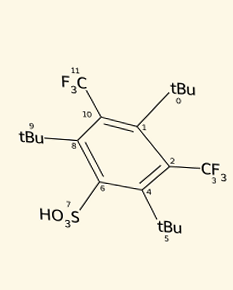 CC(C)(C)c1c(C(F)(F)F)c(C(C)(C)C)c(S(=O)(=O)O)c(C(C)(C)C)c1C(F)(F)F